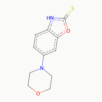 S=c1[nH]c2ccc(N3CCOCC3)cc2o1